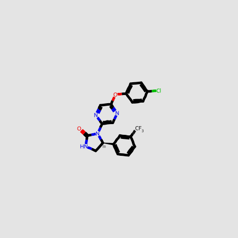 O=C1NC[C@H](c2cccc(C(F)(F)F)c2)N1c1cnc(Oc2ccc(Cl)cc2)cn1